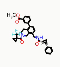 COC(=O)c1cccc(-c2ccc(CNC(=O)[C@H]3C[C@@H]3c3ccccc3)c3c2CCN(C(=O)C2(C(F)(F)F)CC2)C3)c1